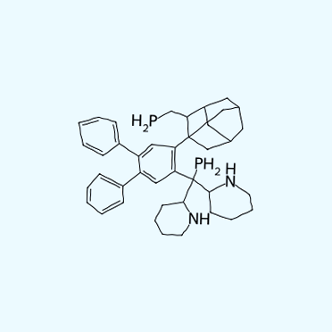 PCC1C2CC3CC(C2)CC1(c1cc(-c2ccccc2)c(-c2ccccc2)cc1C(P)(C1CCCCN1)C1CCCCN1)C3